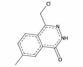 Cc1ccc2c(CCl)n[nH]c(=O)c2c1